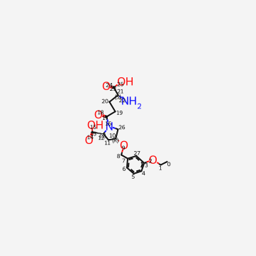 CCOc1cccc(CO[C@@H]2C[C@@H](C(=O)O)N(C(=O)CC[C@H](N)C(=O)O)C2)c1